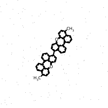 Cc1ccc2oc3ccc(-c4ccc5oc6ccc(C)c7cccc(c8cccc4c58)c67)c4cccc(c5cccc1c25)c34